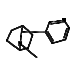 CN1C2CCC(CC2)C1c1cccnc1